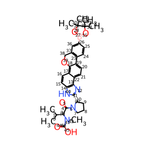 CC(C)[C@@H](C(=O)N1CCC[C@H]1c1nc2c(ccc3c4c(ccc32)-c2ccc(B3OC(C)(C)C(C)(C)O3)cc2CO4)[nH]1)N(C)C(=O)O